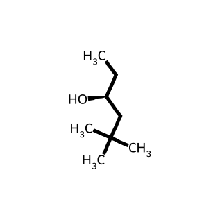 CC[C@H](O)CC(C)(C)C